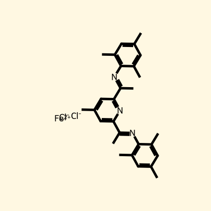 CC(=Nc1c(C)cc(C)cc1C)c1cc(C)cc(C(C)=Nc2c(C)cc(C)cc2C)n1.[Cl-].[Cl-].[Fe+2]